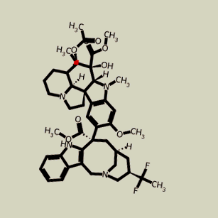 CC[C@]12CCCN3CC[C@@]4(c5cc([C@@]6(C(=O)OC)C[C@H]7C[C@@H](C(C)(F)F)CN(Cc8c6[nH]c6ccccc86)C7)c(OC)cc5N(C)[C@H]4[C@@](O)(C(=O)OC)[C@@H]1OC(C)=O)[C@@H]32